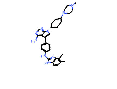 Cc1ccc2[nH]c(Nc3ccc(-c4cn([C@H]5CC[C@H](N6CCN(C)CC6)CC5)c5ncnc(N)c45)cc3)nc2c1C